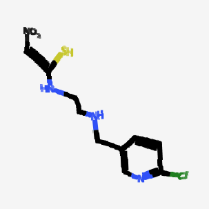 O=[N+]([O-])C=C(S)NCCNCc1ccc(Cl)nc1